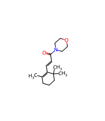 CC1=C(C=CC(=O)N2CCOCC2)C(C)(C)CCC1